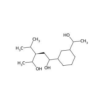 CC(O)C1CCCC(C(O)C[C@H](C(C)C)C(C)O)C1